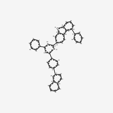 c1ccc(-c2nc(-c3ccc(-c4ccc5ccccc5c4)cc3)nc(-c3ccc4c(c3)oc3cccc(-c5ccccc5)c34)n2)cc1